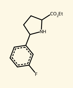 CCOC(=O)C1CCC(c2cccc(F)c2)N1